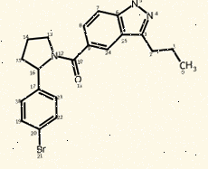 CCCc1n[nH]c2ccc(C(=O)N3CCCC3c3ccc(Br)cc3)cc12